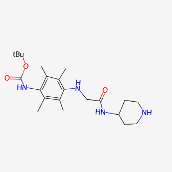 Cc1c(C)c(NC(=O)OC(C)(C)C)c(C)c(C)c1NCC(=O)NC1CCNCC1